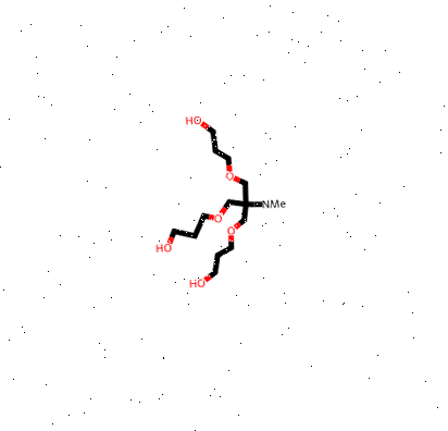 CNC(COCCCO)(COCCCO)COCCCO